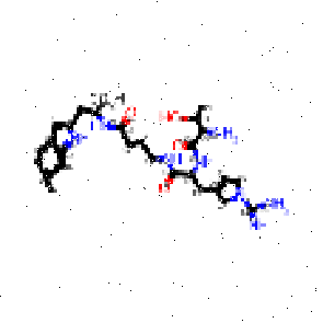 Cc1ccc2cc(CC(NC(=O)CCCNC(=O)C(CC3=CCN(C(=N)N)C3)NC(=O)C(N)C(C)O)C(=O)O)[nH]c2c1